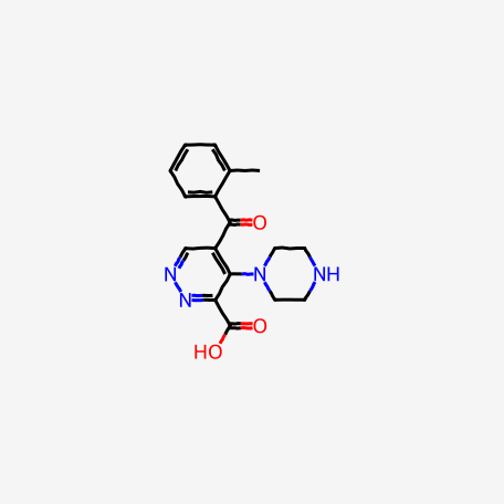 Cc1ccccc1C(=O)c1cnnc(C(=O)O)c1N1CCNCC1